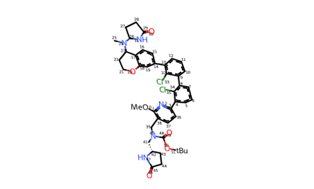 COc1nc(-c2cccc(-c3cccc(-c4ccc5c(c4)OCCC5N(C)[C@H]4CCC(=O)N4)c3Cl)c2Cl)ccc1CN(C[C@@H]1CCC(=O)N1)C(=O)OC(C)(C)C